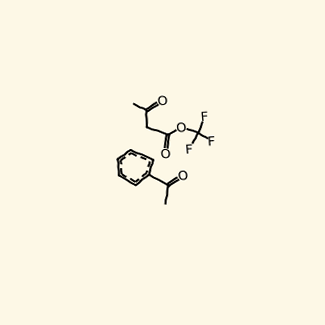 CC(=O)CC(=O)OC(F)(F)F.CC(=O)c1ccccc1